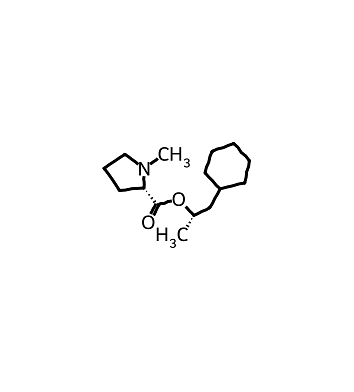 C[C@@H](CC1CCCCC1)OC(=O)[C@@H]1CCCN1C